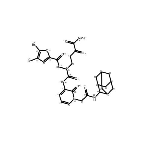 CNC(=O)C(=O)CC[C@H](NC(=O)c1cc(Br)c(Br)o1)C(=O)Nc1cccn(CC(=O)NC2C3CC4CC(C3)CC2C4)c1=O